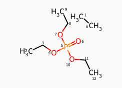 CC.CCOP(=O)(OCC)OCC